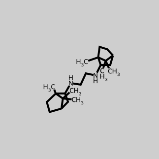 CC1(C)C2CCC1(C)C(NCCNC1CC3CCC1(C)C3(C)C)C2